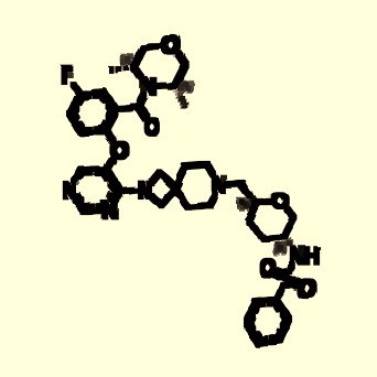 C[C@@H]1COC[C@H](C)N1C(=O)c1cc(F)ccc1Oc1cncnc1N1CC2(CCN(C[C@@H]3CC[C@@H](NS(=O)(=O)c4ccccc4)CO3)CC2)C1